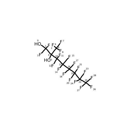 OC(F)(F)C(O)(C(F)(F)F)C(F)(F)C(F)(F)C(F)(F)C(F)(F)C(F)(F)C(F)(F)F